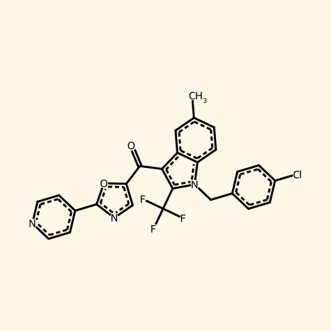 Cc1ccc2c(c1)c(C(=O)c1cnc(-c3ccncc3)o1)c(C(F)(F)F)n2Cc1ccc(Cl)cc1